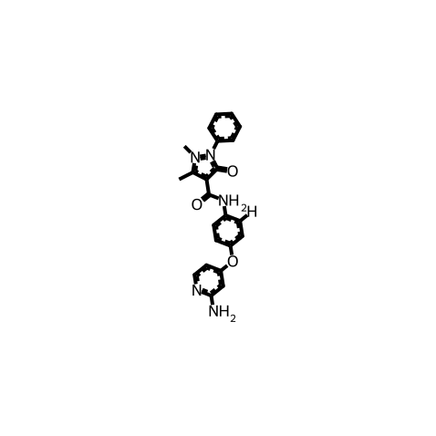 [2H]c1cc(Oc2ccnc(N)c2)ccc1NC(=O)c1c(C)n(C)n(-c2ccccc2)c1=O